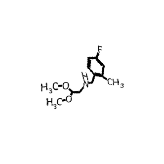 COC(CNCc1ccc(F)cc1C)OC